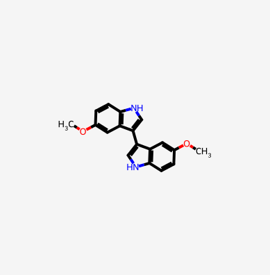 COc1ccc2[nH]cc(-c3c[nH]c4ccc(OC)cc34)c2c1